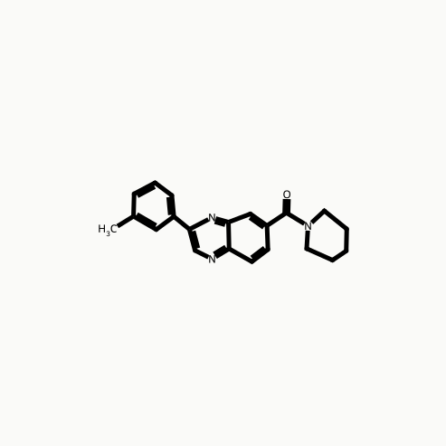 Cc1cccc(-c2cnc3ccc(C(=O)N4CCCCC4)cc3n2)c1